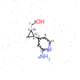 Nc1cc([C@H]2C[C@@H]2CO)ccn1